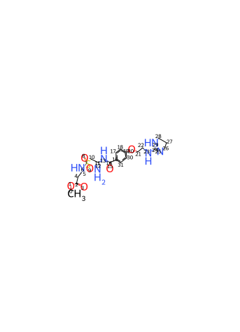 COC(=O)CCNS(=O)(=O)C[C@@H](N)NC(=O)c1ccc(OCCNC2=NCCCN2)cc1